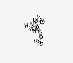 CCC(=O)NCCO[C@@H]1CC[C@@H](n2nc(-c3noc(C4CC4)c3-c3ccccn3)c3c(N)ncnc32)C1